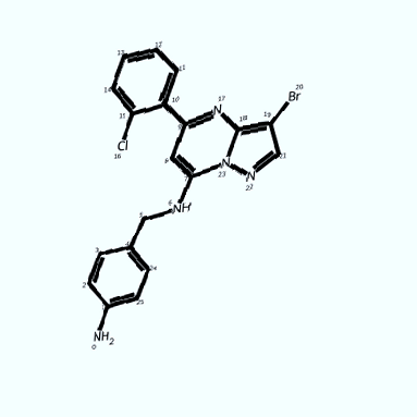 Nc1ccc(CNc2cc(-c3ccccc3Cl)nc3c(Br)cnn23)cc1